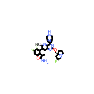 Cc1c(N)oc2cc(F)c(F)c(-c3cc4nc(OC[C@@]56CCCN5C[C@H](F)C6)nc(N5C6CCC5CNC6)c4nc3C#N)c12